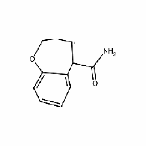 NC(=O)C1[C]CCOc2ccccc21